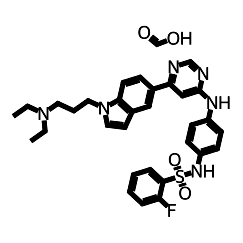 CCN(CC)CCCn1ccc2cc(-c3cc(Nc4ccc(NS(=O)(=O)c5ccccc5F)cc4)ncn3)ccc21.O=CO